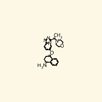 C[C@@H](c1nnc2ccc(O[C@@H]3CC[C@H](N)c4ccccc43)cn12)N1CCOCC1